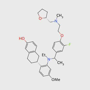 CCN(c1cc(OC)ccc1[C@@H]1CCc2cc(O)ccc2C1)C(C)c1ccc(OCCN(C)C[C@H]2CCCO2)c(F)c1